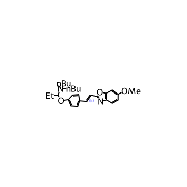 CCCCN(CCCC)C(CC)Oc1ccc(/C=C/c2nc3ccc(OC)cc3o2)cc1